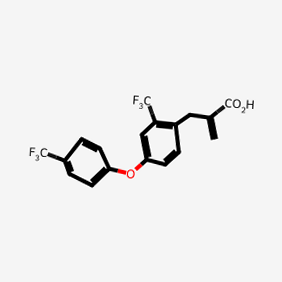 C=C(Cc1ccc(Oc2ccc(C(F)(F)F)cc2)cc1C(F)(F)F)C(=O)O